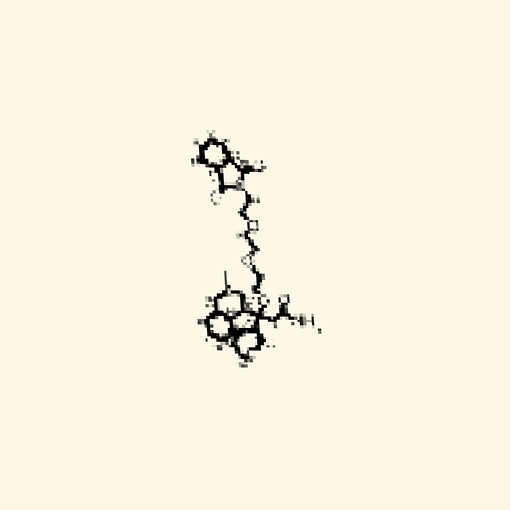 NC(=O)CC(OCCOCCOCCN1C(=O)c2ccccc2C1=O)(c1ccccc1)C1CNCc2ccccc21